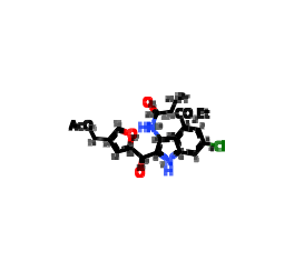 CCOC(=O)c1cc(Cl)cc2[nH]c(C(=O)c3cc(COC(C)=O)co3)c(NC(=O)CC(C)C)c12